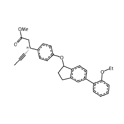 CC#C[C@H](CC(=O)OC)c1ccc(OC2CCc3cc(-c4ccccc4OCC)ccc32)cc1